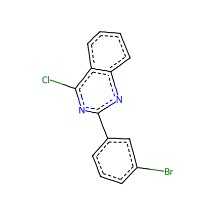 Clc1nc(-c2cccc(Br)c2)nc2ccccc12